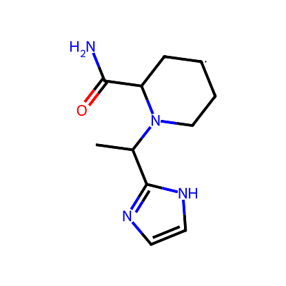 CC(c1ncc[nH]1)N1CC[CH]CC1C(N)=O